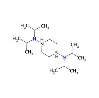 CC(C)N(C(C)C)[SiH]1CC[SiH](N(C(C)C)C(C)C)CC1